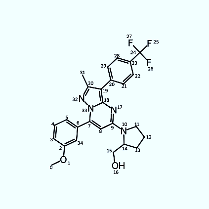 COc1cccc(-c2cc(N3CCCC3CO)nc3c(-c4ccc(C(F)(F)F)cc4)c(C)nn23)c1